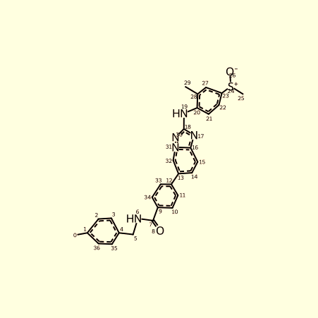 Cc1ccc(CNC(=O)c2ccc(-c3ccc4nc(Nc5ccc([S+](C)[O-])cc5C)nn4c3)cc2)cc1